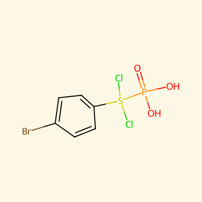 O=P(O)(O)S(Cl)(Cl)c1ccc(Br)cc1